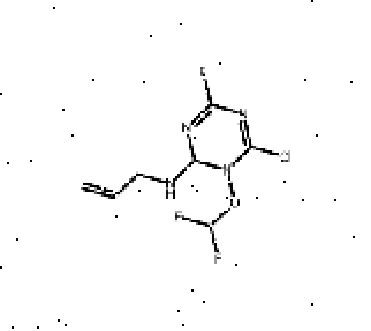 C=CCNC1N=C(F)N=C(Cl)N1OC(F)F